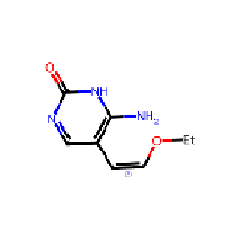 CCO/C=C\c1cnc(=O)[nH]c1N